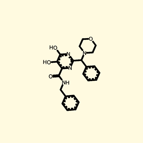 O=C(NCc1ccccc1)c1nc(C(c2ccccc2)N2CCOCC2)nc(O)c1O